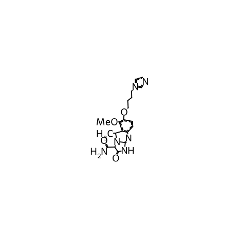 COc1c(OCCCCn2ccnc2)ccc2c1C(C)N1C(=N2)NC(=O)C1C(N)=O